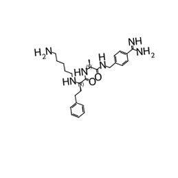 C[C@H](NC(=O)[C@@H](CCc1ccccc1)NCCCCCN)C(=O)NCc1ccc(C(=N)N)cc1